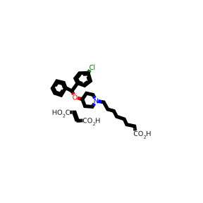 O=C(O)C=CC(=O)O.O=C(O)CCCCCCCN1CCC(OC(c2ccccc2)c2ccc(Cl)cc2)CC1